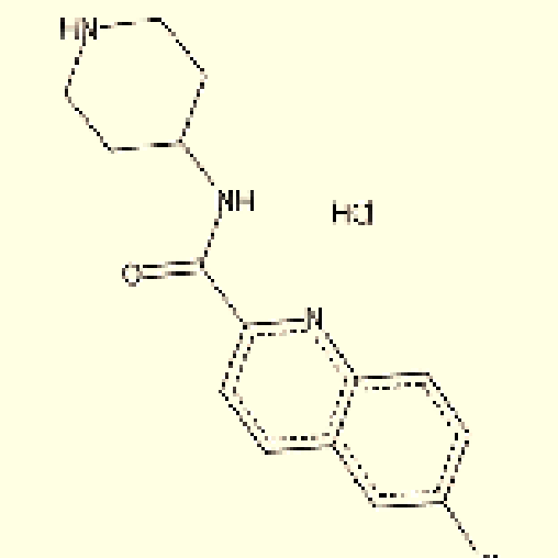 Cl.O=C(NC1CCNCC1)c1ccc2cc(Cl)ccc2n1